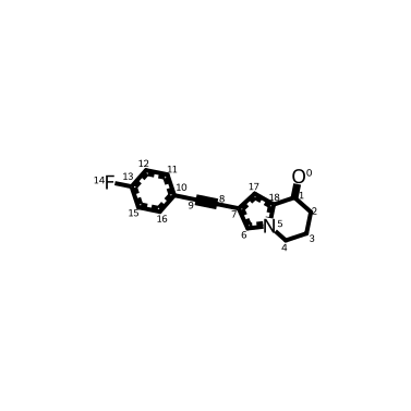 O=C1CCCn2cc(C#Cc3ccc(F)cc3)cc21